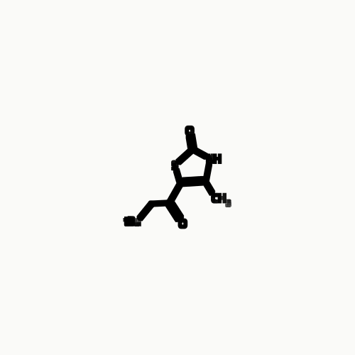 Cc1[nH]c(=O)sc1C(=O)CC(C)(C)C